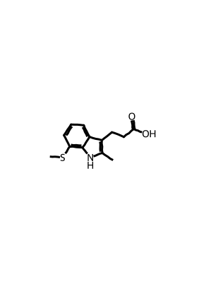 CSc1cccc2c(CCC(=O)O)c(C)[nH]c12